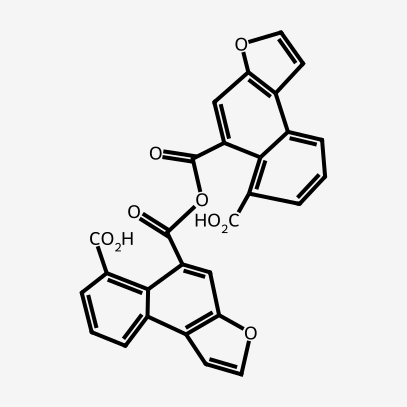 O=C(O)c1cccc2c1c(C(=O)OC(=O)c1cc3occc3c3cccc(C(=O)O)c13)cc1occc12